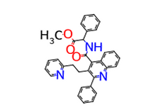 COC(=O)C(NC(=O)c1c(CCc2ccccn2)c(-c2ccccc2)nc2ccccc12)c1ccccc1